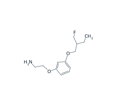 CCC(CF)COc1cccc(OCCN)c1